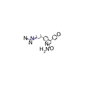 C=N/C(C#N)=N\C=C(/C)CC(C)c1ccc2c(-c3ccc(OC)cc3)cc(C(N)=O)nc2c1